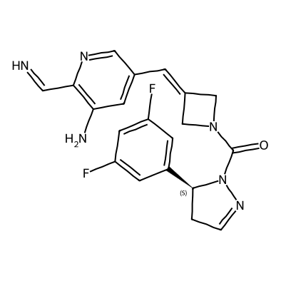 N=Cc1ncc(C=C2CN(C(=O)N3N=CC[C@H]3c3cc(F)cc(F)c3)C2)cc1N